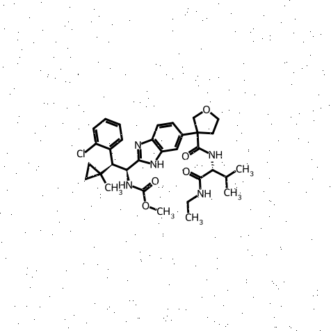 CCNC(=O)[C@H](NC(=O)C1(c2ccc3nc([C@@H](NC(=O)OC)[C@H](c4ccccc4Cl)C4(C)CC4)[nH]c3c2)CCOC1)C(C)C